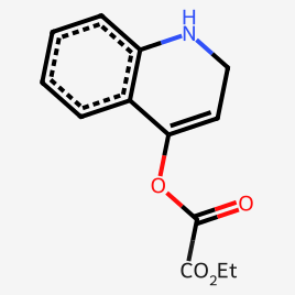 CCOC(=O)C(=O)OC1=CCNc2ccccc21